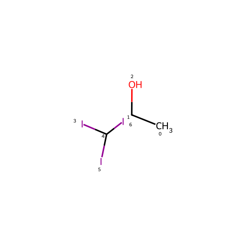 CCO.IC(I)I